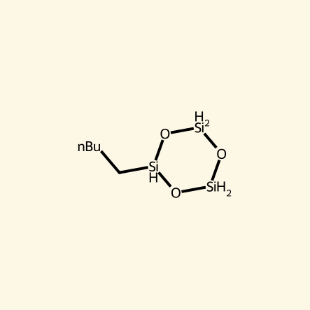 CCCCC[SiH]1O[SiH2]O[SiH2]O1